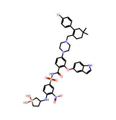 CC1(C)CCC(CN2CCN(c3ccc(C(=O)NS(=O)(=O)c4ccc(NC5CCS(O)(O)C5)c([N+](=O)[O-])c4)c(Oc4ccc5[nH]ccc5c4)c3)CC2)=C(c2ccc(Cl)cc2)C1